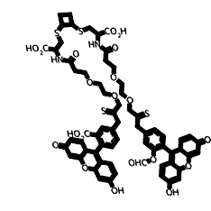 O=COc1cc(CC(=S)COCCOCCC(=O)NC(CSC2CCC2SCC(NC(=O)CCOCCOCC(=S)Cc2ccc(C3=C4C=CC(O)=CC4OC4=CC(=O)C=CC43)c(C(=O)O)c2)C(=O)O)C(=O)O)ccc1C1=C2C=CC(O)=CC2OC2=CC(=O)C=CC21